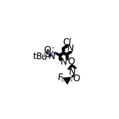 CC(C)(C)[S@+]([O-])/N=C/c1cnc(OC2CN(C(=O)[C@@H]3C[C@@H]3F)C2)c2cnc(Cl)cc12